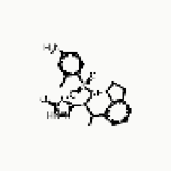 Cc1cc(N)ccc1S(=O)(=O)NC(c1n[nH]c(=O)o1)C(C)c1cccc2c1CCC2